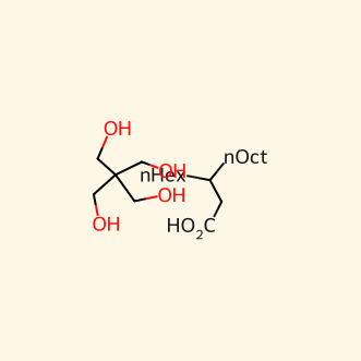 CCCCCCCCC(CCCCCC)CC(=O)O.OCC(CO)(CO)CO